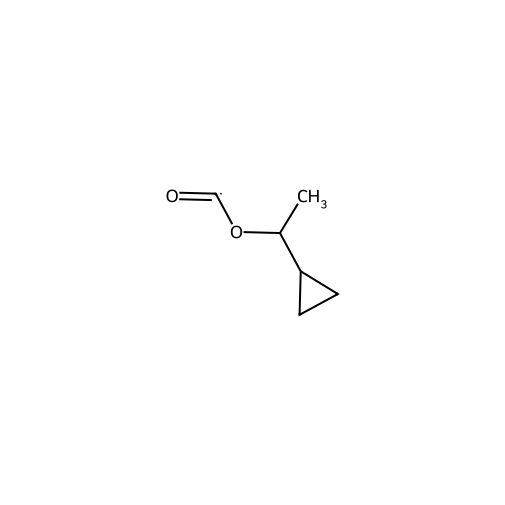 CC(O[C]=O)C1CC1